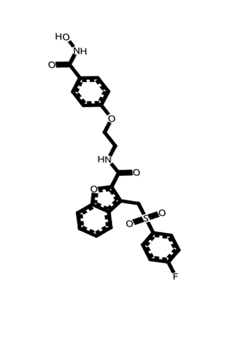 O=C(NO)c1ccc(OCCNC(=O)c2oc3ccccc3c2CS(=O)(=O)c2ccc(F)cc2)cc1